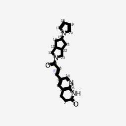 O=C1CCc2cc(/C=C/C(=O)N3CC4CC(n5cccc5)CC4C3)cnc2N1